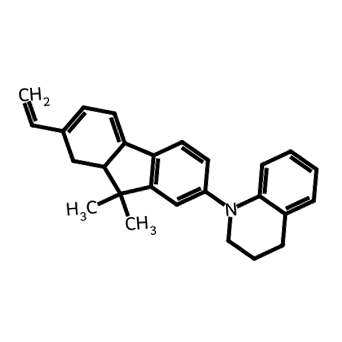 C=CC1=CC=C2c3ccc(N4CCCc5ccccc54)cc3C(C)(C)C2C1